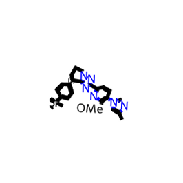 COc1nc(-c2nc3n(n2)CCC[C@H]3c2ccc([Si](C)(C)C)cc2)ccc1-n1cnc(C)c1